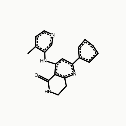 Cc1ccncc1Nc1cc(-c2ccccc2)nc2c1C(=O)NCC2